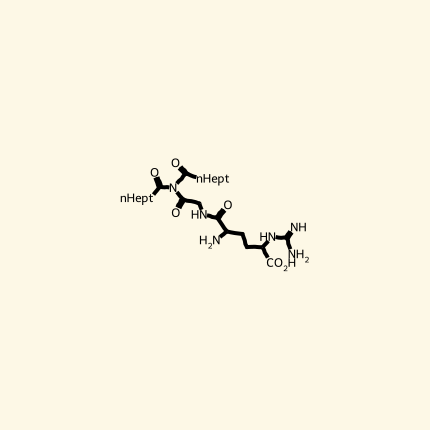 CCCCCCCC(=O)N(C(=O)CCCCCCC)C(=O)CNC(=O)C(N)CCC(NC(=N)N)C(=O)O